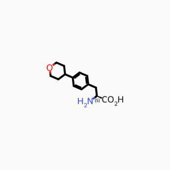 N[C@@H](Cc1ccc(C2CCOCC2)cc1)C(=O)O